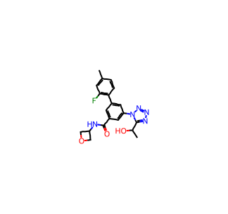 Cc1ccc(-c2cc(C(=O)NC3COC3)cc(-n3nnnc3C(C)O)c2)c(F)c1